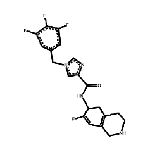 O=C(NC1CC2=C(C=C1F)CNCC2)c1cn(Cc2cc(F)c(F)c(F)c2)cn1